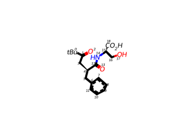 CC(C)(C)C(=O)C[C@H](Cc1ccccc1)C(=O)N[C@@H](CO)C(=O)O